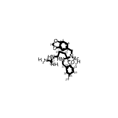 CC(=O)N(Cc1ccc2c(c1)OCO2)[C@](CCCNC(=N)N)(NCc1cccc(I)c1)C(=O)O